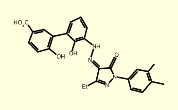 CCC1=NN(c2ccc(C)c(C)c2)C(=O)/C1=N\Nc1cccc(-c2cc(C(=O)O)ccc2O)c1O